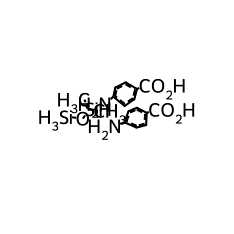 C[SiH](C)O[SiH3].Nc1ccc(C(=O)O)cc1.Nc1ccc(C(=O)O)cc1